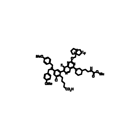 COc1ccc(CN(Cc2ccc(OC)cc2)c2cc(Cl)c(CCCCC(=O)O)c(-c3ncc4c(N5CCCC(CCNC(=O)OC(C)(C)C)C5)nc(OC[C@@]56CCCN5C[C@H](F)C6)nc4c3F)c2)cc1